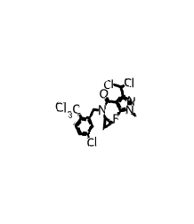 Cn1nc(C(Cl)Cl)c(C(=O)N(Cc2cc(Cl)ccc2C(Cl)(Cl)Cl)C2CC2)c1F